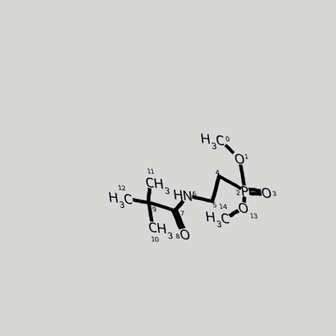 COP(=O)(CCNC(=O)C(C)(C)C)OC